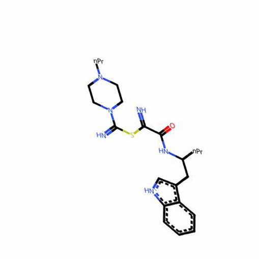 CCCC(Cc1c[nH]c2ccccc12)NC(=O)C(=N)SC(=N)N1CCN(CCC)CC1